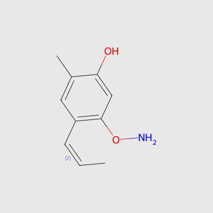 C/C=C\c1cc(C)c(O)cc1ON